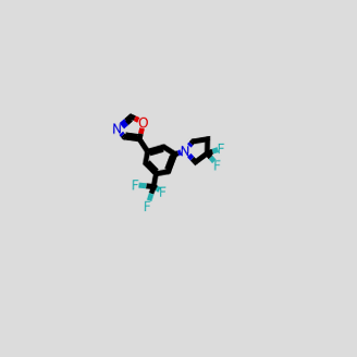 FC1(F)CCN(c2cc(-c3cnco3)cc(C(F)(F)F)c2)C1